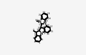 CC1c2ccccc2N2c3cccc4c3C(C12)C1N(C)c2ccccc2N41